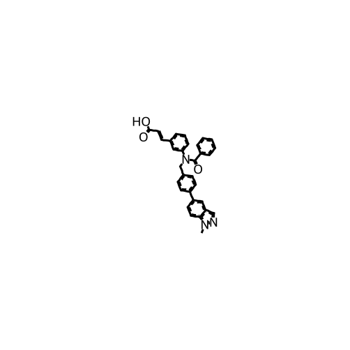 Cn1ncc2cc(-c3ccc(CN(C(=O)c4ccccc4)c4cccc(C=CC(=O)O)c4)cc3)ccc21